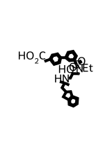 CCN(C[C@H](O)CNC(C)(C)CC1Cc2ccccc2C1)S(=O)(=O)c1cccc(-c2ccc(CC(=O)O)cc2)c1